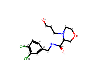 [O]CCCN1CCOCC1C(=O)NCc1ccc(Cl)c(Cl)c1